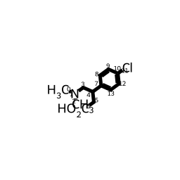 CN(C)CC(CC(=O)O)c1ccc(Cl)cc1